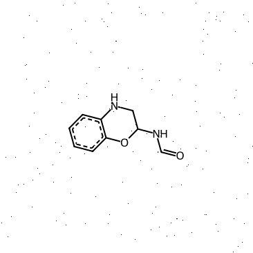 O=[C]NC1CNc2ccccc2O1